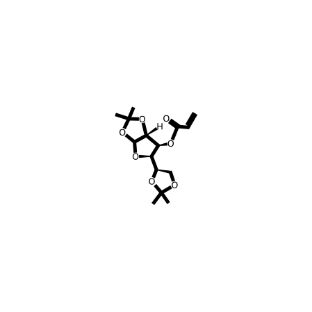 C=CC(=O)O[C@H]1[C@@H]([C@H]2COC(C)(C)O2)OC2OC(C)(C)O[C@@H]21